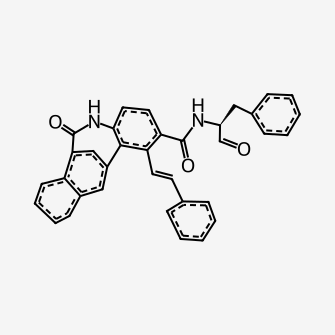 O=C[C@H](Cc1ccccc1)NC(=O)c1ccc2c(c1/C=C/c1ccccc1)-c1cc(c3ccccc3c1)C(=O)N2